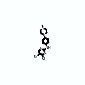 CN1CCN(c2ccc(Nc3ncc(Br)c(Cl)n3)cc2)CC1